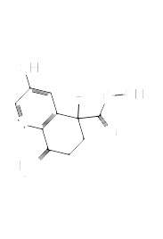 C=C1CCC(F)(C(=O)OC)c2cc(C)cnc21